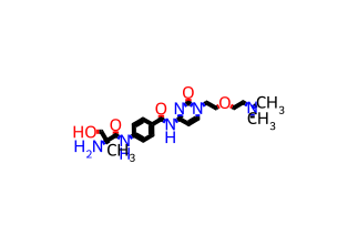 CN(C)CCOCCn1ccc(NC(=O)c2ccc(NC(=O)C(C)(N)CO)cc2)nc1=O